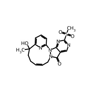 CC1(O)CCC=CCn2c(=O)c3cnc(S(C)(=O)=O)nc3n2-c2cccc1n2